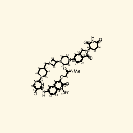 CNC(=O)COc1cc2cc(Nc3nc(N4CCC(CN5CC(N6CCN(c7ccc8c(c7)CN(C7CCC(=O)NC7=O)C8=O)CC6)C5)CC4)ncc3Cl)ccc2n(C(C)C)c1=O